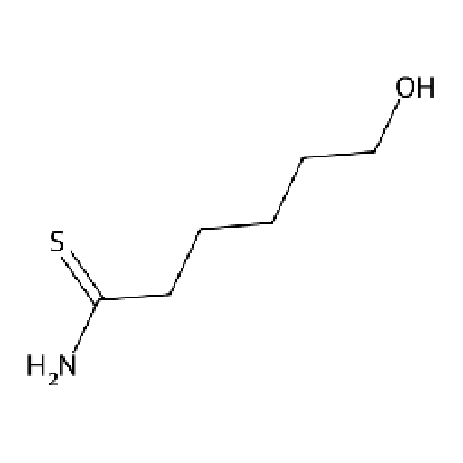 NC(=S)CCCCCO